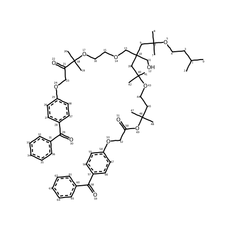 CC(C)CCOC(C)(C)CC(CO)(COCCOC(C)(C)C(=O)COc1ccc(C(=O)c2ccccc2)cc1)CC(C)(C)OCCC(C)(C)OC(=O)COc1ccc(C(=O)c2ccccc2)cc1